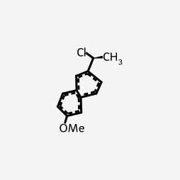 COc1ccc2cc([C@H](C)Cl)ccc2c1